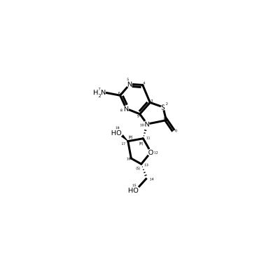 C=C1Sc2cnc(N)nc2N1[C@@H]1O[C@H](CO)C[C@H]1O